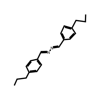 CCCc1ccc(/C=N/N=C/c2ccc(CCC)cc2)cc1